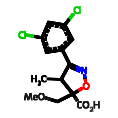 COCC1(C(=O)O)ON=C(c2cc(Cl)cc(Cl)c2)C1C